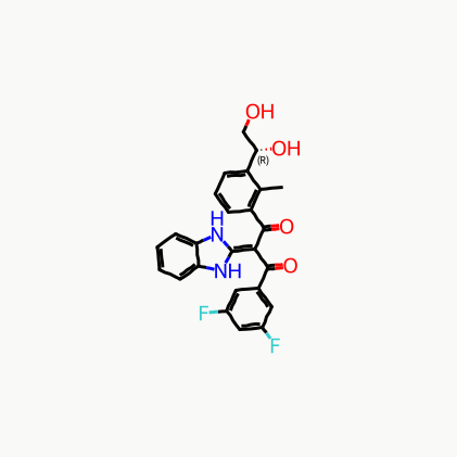 Cc1c(C(=O)C(C(=O)c2cc(F)cc(F)c2)=C2Nc3ccccc3N2)cccc1[C@@H](O)CO